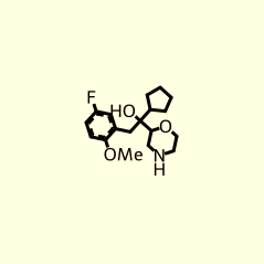 COc1ccc(F)cc1CC(O)(C1CCCC1)C1CNCCO1